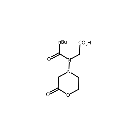 CCCCC(=O)N(CC(=O)O)N1CCOC(=O)C1